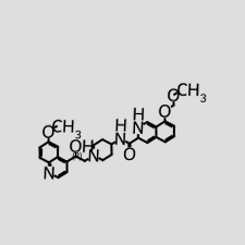 COCOc1cccc2c1=CNC(C(=O)NC1CCN(C[C@H](O)c3ccnc4ccc(OC)cc34)CC1)C=2